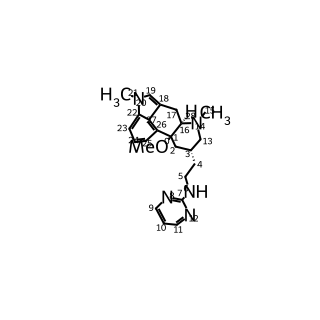 CO[C@]12C[C@@H](CCNc3ncccn3)CN(C)[C@@H]1Cc1cn(C)c3cccc2c13